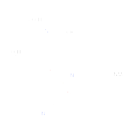 CNCc1cc(-c2cccnc2C)n(S(=O)(=O)c2cccnc2)c1.O=C(O)/C=C/C(=O)O